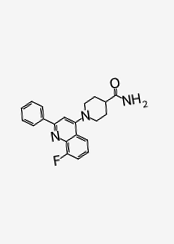 NC(=O)C1CCN(c2cc(-c3ccccc3)nc3c(F)cccc23)CC1